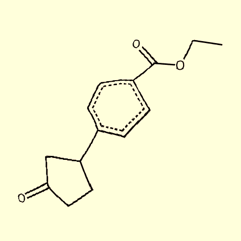 CCOC(=O)c1ccc(C2CCC(=O)C2)cc1